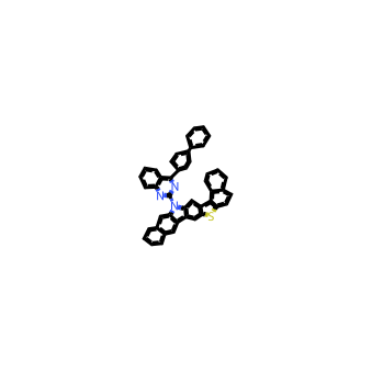 c1ccc(-c2ccc(-c3nc(-n4c5cc6ccccc6cc5c5cc6sc7ccc8ccccc8c7c6cc54)nc4ccccc34)cc2)cc1